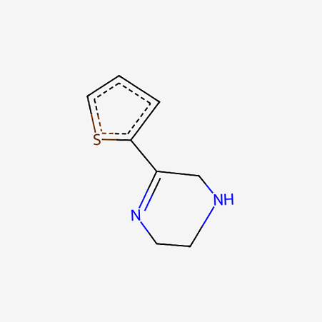 c1csc(C2=NCCNC2)c1